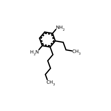 CCCCCc1c(N)ccc(N)c1CCC